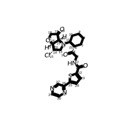 O=C(NCC(=O)[C@H]1CCCCC1N1C[C@H](Cl)[C@H]2OCC(=O)[C@H]21)c1ccc(-c2cnccn2)s1